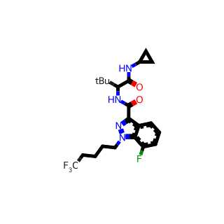 CC(C)(C)C(NC(=O)c1nn(CCCCC(F)(F)F)c2c(F)cccc12)C(=O)NC1CC1